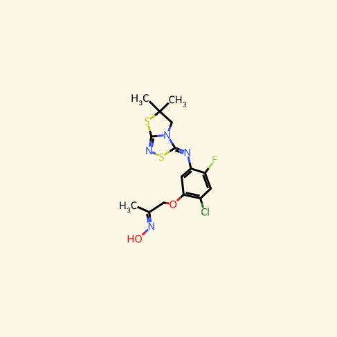 CC(COc1cc(N=c2snc3n2CC(C)(C)S3)c(F)cc1Cl)=NO